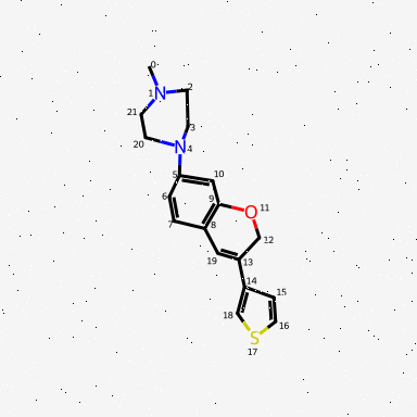 CN1CCN(c2ccc3c(c2)OCC(c2ccsc2)=C3)CC1